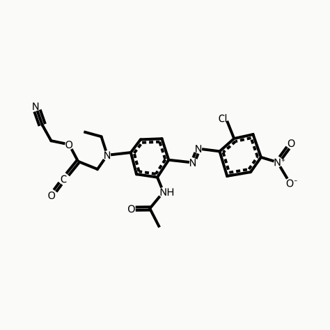 CCN(CC(=C=O)OCC#N)c1ccc(N=Nc2ccc([N+](=O)[O-])cc2Cl)c(NC(C)=O)c1